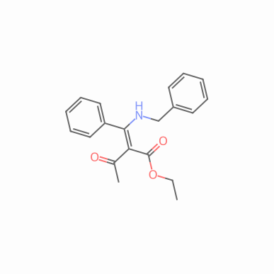 CCOC(=O)C(C(C)=O)=C(NCc1ccccc1)c1ccccc1